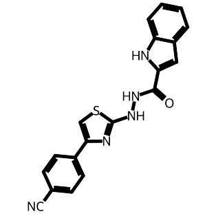 N#Cc1ccc(-c2csc(NNC(=O)c3cc4ccccc4[nH]3)n2)cc1